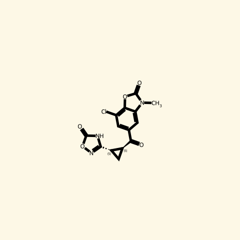 Cn1c(=O)oc2c(Cl)cc(C(=O)[C@H]3C[C@@H]3c3noc(=O)[nH]3)cc21